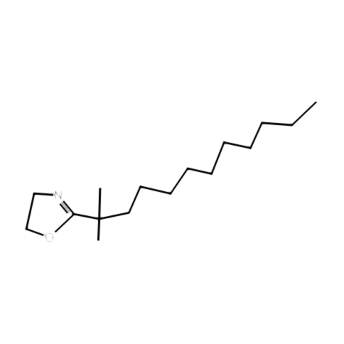 CCCCCCCCCCC(C)(C)C1=NCCO1